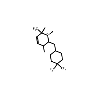 CC1C=CC(C)(C(F)(F)F)[C@@H](C)C1CC1CCC(C(F)(F)F)(C(F)(F)F)CC1